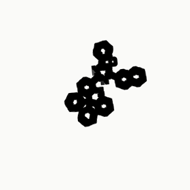 C1=CCC(C2(c3ccccc3)c3ccccc3Sc3c(-c4nc(-c5ccc6ccccc6c5)c5oc6ccccc6c5n4)cccc32)C=C1